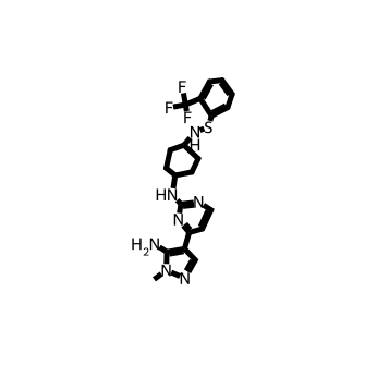 Cn1ncc(-c2ccnc(NC3CCC(NSc4ccccc4C(F)(F)F)CC3)n2)c1N